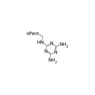 CCCCCCNc1nc(N)nc(N)n1